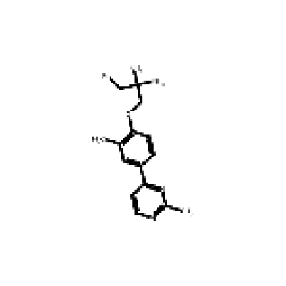 Cc1nccc(-c2ccc(OCC(C)(N)CC(C)C)c(C)c2)n1